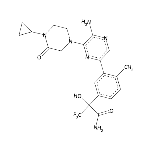 Cc1ccc(C(O)(C(N)=O)C(F)(F)F)cc1-c1cnc(N)c(N2CCN(C3CC3)C(=O)C2)n1